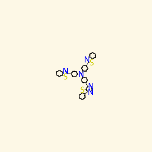 c1ccc2sc(-c3ccc(N(c4ccc(-c5nc6ccccc6s5)cc4)c4ccc(-c5ncnc6c5sc5ccccc56)cc4)cc3)nc2c1